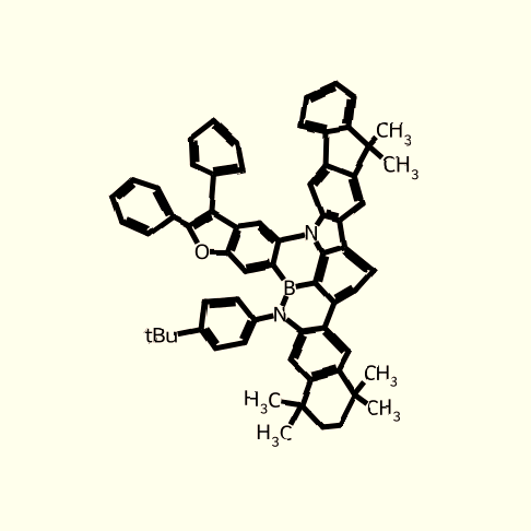 CC(C)(C)c1ccc(N2B3c4cc5oc(-c6ccccc6)c(-c6ccccc6)c5cc4-n4c5cc6c(cc5c5ccc(c3c54)-c3cc4c(cc32)C(C)(C)CCC4(C)C)C(C)(C)c2ccccc2-6)cc1